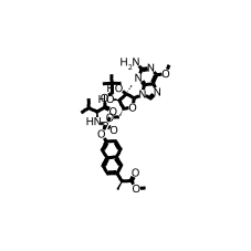 COC(=O)[C@@H](C)c1ccc2cc(OP(=O)(N[C@H](C(=O)OCC(C)(C)C)C(C)C)OC[C@H]3OC(n4cnc5c(OC)nc(N)nc54)[C@](C)(O)[C@@H]3O)ccc2c1